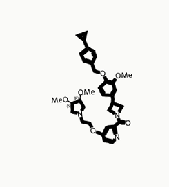 COc1cc(C2CN(C(=O)c3cc(OCCN4C[C@H](OC)[C@H](OC)C4)ccn3)C2)ccc1OCc1ccc(C2CC2)cc1